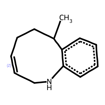 CC1CC/C=C\CNc2ccccc21